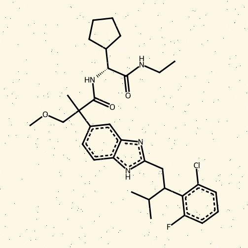 CCNC(=O)[C@H](NC(=O)C(C)(COC)c1ccc2[nH]c(CC(c3c(F)cccc3Cl)C(C)C)nc2c1)C1CCCC1